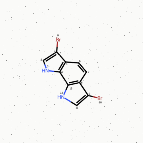 Brc1c[nH]c2c1ccc1c(Br)c[nH]c12